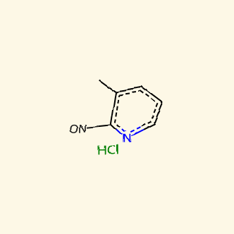 Cc1cccnc1N=O.Cl